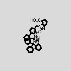 CCOc1nc2cccc(C(=O)O)c2n1Cc1ccc(-c2ccccc2-c2nnnn2C(c2ccccc2)(c2ccccc2)c2ccccc2)cc1